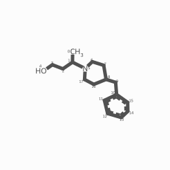 CC(CCO)N1CCC(Cc2ccccc2)CC1